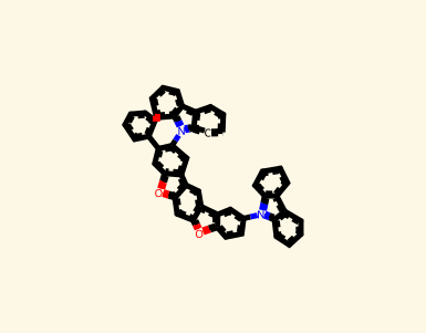 c1ccc(-c2cc3oc4cc5oc6ccc(-n7c8ccccc8c8ccccc87)cc6c5cc4c3cc2-n2c3ccccc3c3ccccc32)cc1